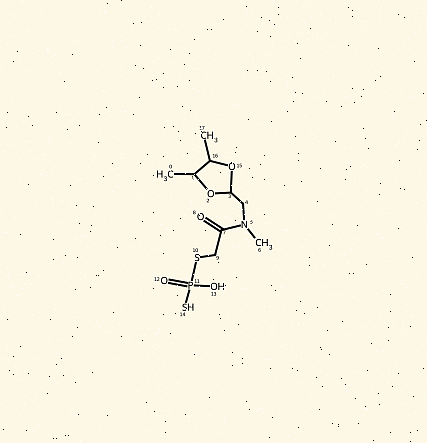 CC1OC(CN(C)C(=O)CSP(=O)(O)S)OC1C